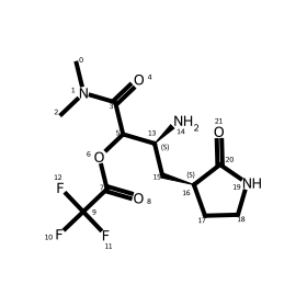 CN(C)C(=O)C(OC(=O)C(F)(F)F)[C@@H](N)C[C@@H]1CCNC1=O